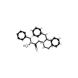 CN(Cc1ccccc1)C(=O)CN1CCc2ccccc2C1Cc1ccccc1